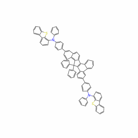 c1ccc(N(c2ccc(-c3ccc4c5c(ccc4c3)-c3c(c4ccc(-c6ccc(N(c7ccccc7)c7cccc8c7sc7ccccc78)cc6)cc4c4ccccc34)C5(c3ccccc3)c3ccccc3)cc2)c2cccc3c2sc2ccccc23)cc1